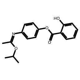 C/C(=N/c1ccc(OC(=O)c2ccccc2O)cc1)OC(C)C